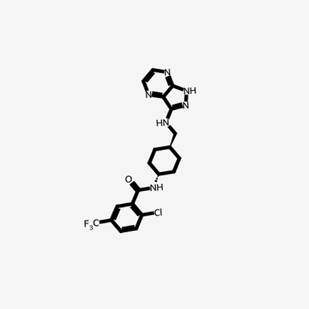 O=C(N[C@H]1CC[C@H](CNc2n[nH]c3nccnc23)CC1)c1cc(C(F)(F)F)ccc1Cl